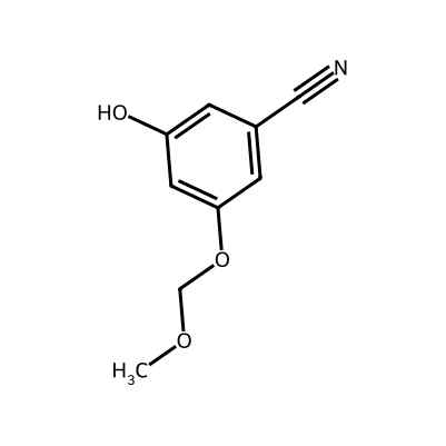 COCOc1cc(O)cc(C#N)c1